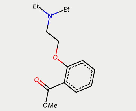 CCN(CC)CCOc1ccccc1C(=O)OC